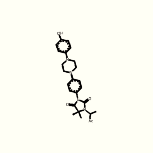 CC(=O)C(C)N1C(=O)N(c2ccc(N3CCN(c4ccc(O)cc4)CC3)cc2)C(=O)C1(C)C